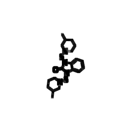 CC1CCCN(Sn2c(=O)n(SN3CCCC(C)C3)c3ccccc32)C1